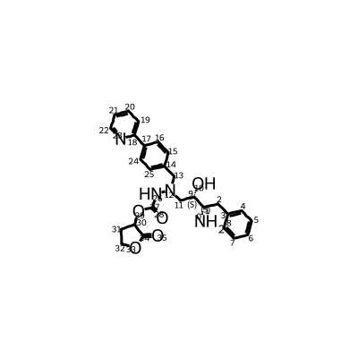 N[C@@H](Cc1ccccc1)[C@@H](O)CN(Cc1ccc(-c2ccccn2)cc1)NC(=O)OC1CCOC1=O